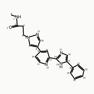 CNC(=O)CCn1cc(-c2ccnc(-c3ncc(-c4ccccc4)[nH]3)c2)cn1